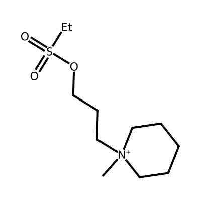 CCS(=O)(=O)OCCC[N+]1(C)CCCCC1